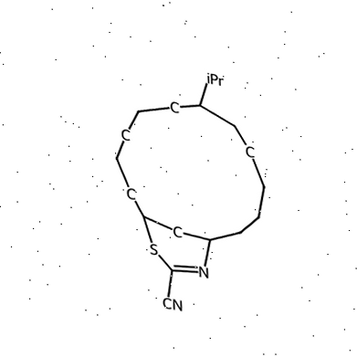 CC(C)C1CCCCCC2CC(CCCCC1)SC(C#N)=N2